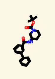 CC(C)(C)OC(=O)N1CCCC(NC(=O)c2cccc(-c3ccccc3)c2)C1